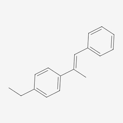 CCc1ccc(C(C)=Cc2ccccc2)cc1